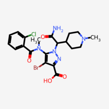 CN1CCC(C(C(N)=O)n2nc(C(=O)O)c(Br)c2N(C)C(=O)c2ccccc2Cl)CC1